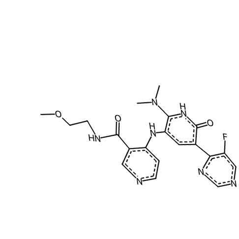 COCCNC(=O)c1cnccc1Nc1cc(-c2ncncc2F)c(=O)[nH]c1N(C)C